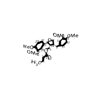 CC=CC(=O)OC[C@H]1[C@@H](Cc2ccc(OC)c(OC)c2)CO[C@@H]1c1ccc(OC)c(OC)c1